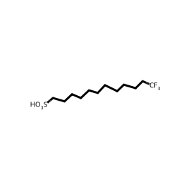 O=S(=O)(O)CCCCCCCCCCCC(F)(F)F